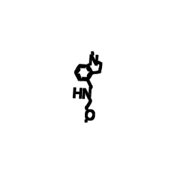 COCCNCc1cccc2c1CCN2C